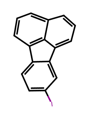 Ic1ccc2c(c1)-c1cccc3cccc-2c13